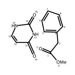 COC(=O)Cc1ccccc1.O=c1cc[nH]c(=O)[nH]1